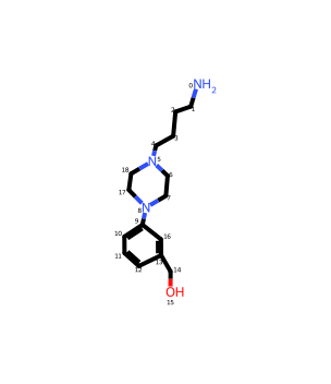 NCCCCN1CCN(c2cccc(CO)c2)CC1